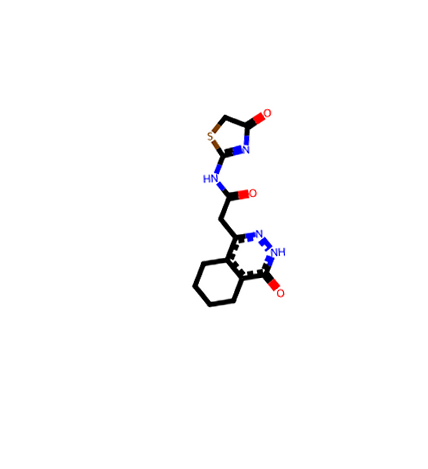 O=C1CSC(NC(=O)Cc2n[nH]c(=O)c3c2CCCC3)=N1